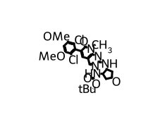 COc1cc(OC)c(Cl)c(-c2cc3cnc(NC4CC(=O)CC4NC(=O)OC(C)(C)C)nc3n(C)c2=O)c1Cl